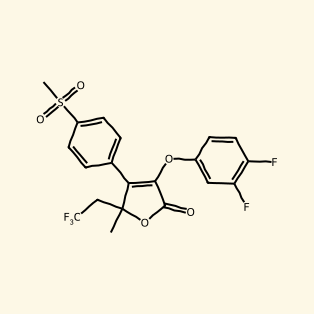 CC1(CC(F)(F)F)OC(=O)C(Oc2ccc(F)c(F)c2)=C1c1ccc(S(C)(=O)=O)cc1